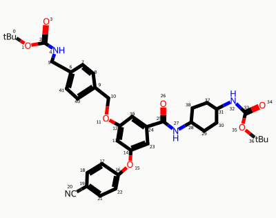 CC(C)(C)OC(=O)NCc1ccc(COc2cc(Oc3ccc(C#N)cc3)cc(C(=O)NC3CCC(NC(=O)OC(C)(C)C)CC3)c2)cc1